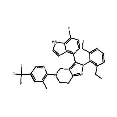 CCc1cccc(CC)c1-n1nc2c(c1-c1ccc(F)c3[nH]ccc13)CN(c1ncc(C(F)(F)F)cc1C)CC2